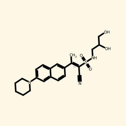 C/C(=C(/C#N)S(=O)(=O)NCC(O)CO)c1ccc2cc(N3CCCCC3)ccc2c1